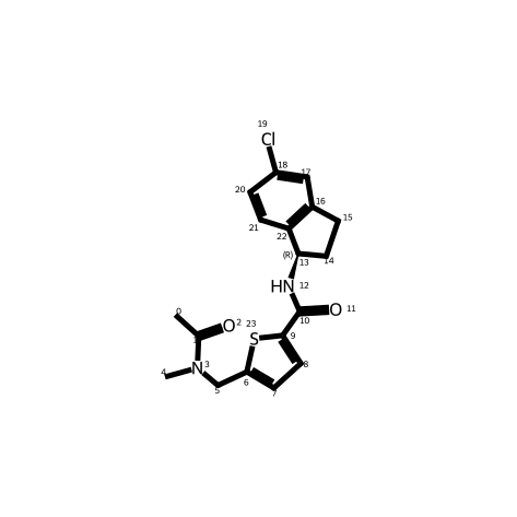 CC(=O)N(C)Cc1ccc(C(=O)N[C@@H]2CCc3cc(Cl)ccc32)s1